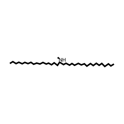 CCCCCCCCCCCCCCCCCCC(CCCCCCCCCCCCCCCCC)NC